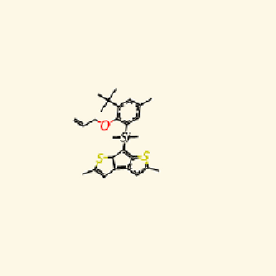 C=CCOc1c(C(C)(C)C)cc(C)cc1[Si](C)(C)C1=c2sc(C)cc2=C2C=C(C)SC21